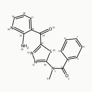 CN(C(=O)c1ccccc1)c1nnc(C(=O)c2cccnc2N)s1